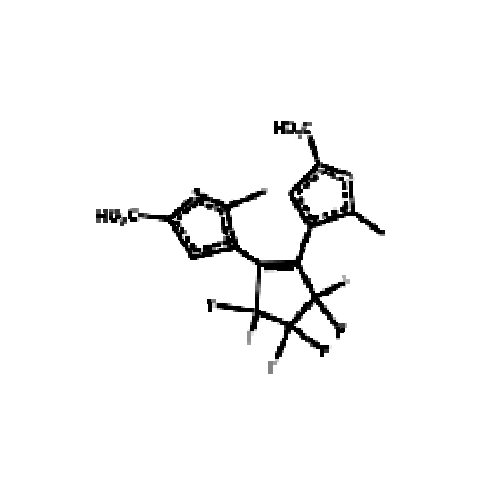 Cc1sc(C(=O)O)cc1C1=C(c2cc(C(=O)O)sc2C)C(F)(F)C(F)(F)C1(F)F